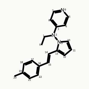 CCN(c1ccncc1)n1cccc1C=Cc1ccc(C)cc1